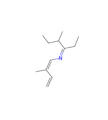 C=C/C(C)=C\N=C(\CC)C(C)CC